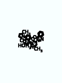 CC(C)C[C@@H](C(=O)N[C@@H](CC(=O)O)c1cccc(N2C(C)CCC2C)c1)n1cnc2ccccc2c1=O